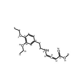 CCOc1ccc(CCNC=C=CC(=O)OC)cc1OCC